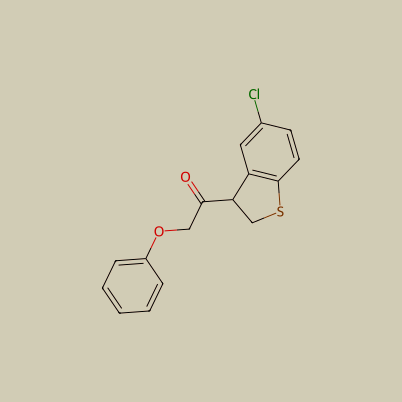 O=C(COc1ccccc1)C1CSc2ccc(Cl)cc21